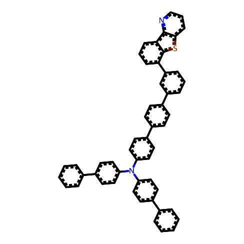 c1ccc(-c2ccc(N(c3ccc(-c4ccccc4)cc3)c3ccc(-c4ccc(-c5cccc(-c6cccc7c6sc6cccnc67)c5)cc4)cc3)cc2)cc1